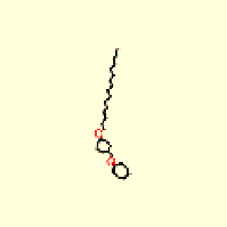 [CH2]CCCCCCCCCCCCCCCOC1CCCC(COC2CC[CH]CCC2)CC1